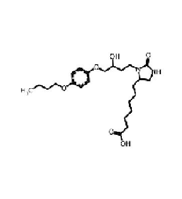 CCCCOc1ccc(OCC(O)CCN2C(=O)NCC2CCCCCCC(=O)O)cc1